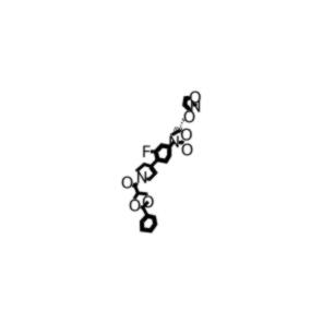 O=C(C1COC(c2ccccc2)OC1)N1CC=C(c2ccc(N3C[C@H](COc4ccon4)OC3=O)cc2F)CC1